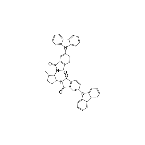 CC1CCC(N2C(=O)c3ccc(-n4c5ccccc5c5ccccc54)cc3C2=O)C1N1C(=O)c2ccc(-n3c4ccccc4c4ccccc43)cc2C1=O